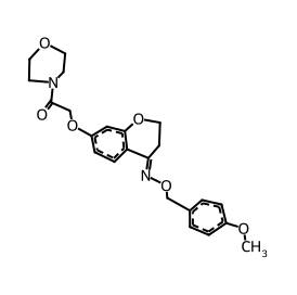 COc1ccc(CO/N=C2\CCOc3cc(OCC(=O)N4CCOCC4)ccc32)cc1